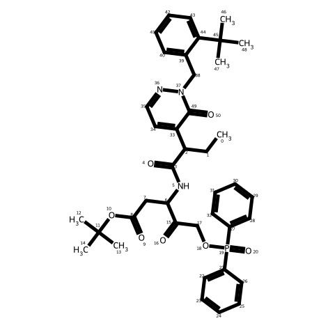 CCC(C(=O)NC(CC(=O)OC(C)(C)C)C(=O)COP(=O)(c1ccccc1)c1ccccc1)c1ccnn(Cc2ccccc2C(C)(C)C)c1=O